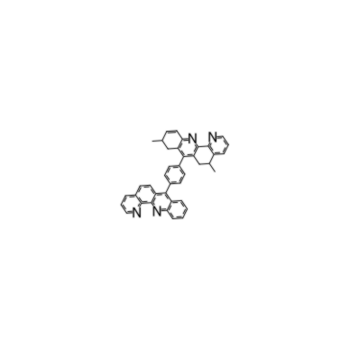 CC1C=Cc2nc3c(c(-c4ccc(-c5c6ccccc6nc6c5ccc5cccnc56)cc4)c2C1)CC(C)c1cccnc1-3